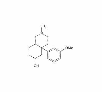 COc1cccc(C23CCN(C)CC2CCC(O)C3)c1